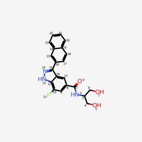 O=C(NC(CO)CO)c1cc(F)c2[nH]nc(-c3ccc4ccccc4c3)c2c1